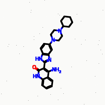 Nc1c(-c2nc3cc(N4CCN(C5CCCCC5)CC4)ccc3[nH]2)c(=O)[nH]c2ccccc12